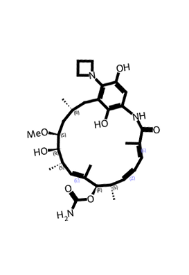 CO[C@H]1C[C@H](C)Cc2c(O)c(cc(O)c2N2CCC2)NC(=O)/C(C)=C/C=C\[C@H](C)[C@@H](OC(N)=O)/C(C)=C/[C@H](C)[C@H]1O